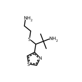 CC(C)(N)C(SCCN)c1cscn1